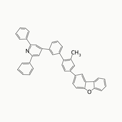 Cc1cc(-c2ccc3oc4ccccc4c3c2)ccc1-c1cccc(-c2cc(-c3ccccc3)nc(-c3ccccc3)c2)c1